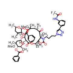 CC[C@H]1OC(=O)[C@H](C)[C@@H](O[C@H]2C[C@@](C)(OC)[C@@H](OC(=O)c3ccccc3)[C@H](C)O2)[C@H](C)[C@@H](O[C@@H]2O[C@H](C)C[C@H](C)[C@H]2OC(=O)c2ccccc2)[C@@](C)(OC)C[C@@H](C)C(=O)[C@H](C)[C@@H]2N(CCCCn3cc(-c4cccc(NC(=O)C(F)(F)F)c4)nn3)C(=O)O[C@@]21C